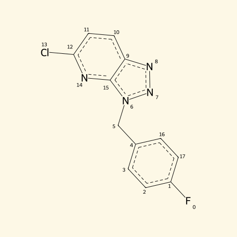 Fc1ccc(Cn2nnc3ccc(Cl)nc32)cc1